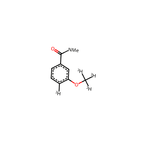 [2H]c1ccc(C(=O)NC)cc1OC([2H])([2H])[2H]